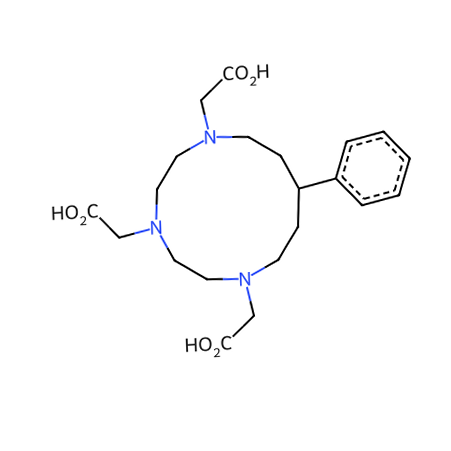 O=C(O)CN1CCC(c2ccccc2)CCN(CC(=O)O)CCN(CC(=O)O)CC1